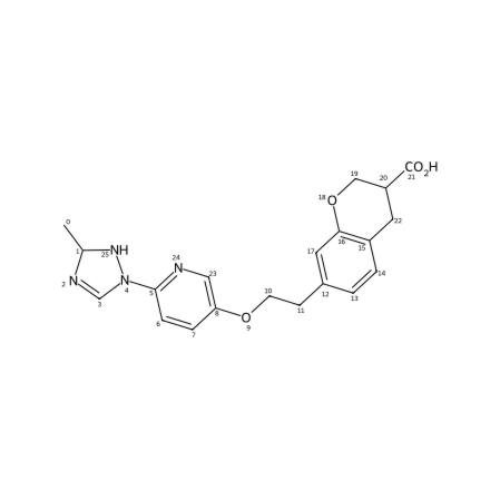 CC1N=CN(c2ccc(OCCc3ccc4c(c3)OCC(C(=O)O)C4)cn2)N1